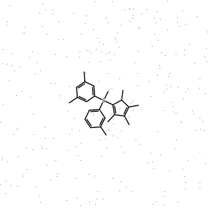 CC1=C(C)C(C)C([Si](C)(c2cccc(C)c2)c2cc(C)cc(C)c2)=C1C